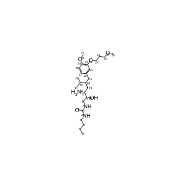 CCCCNC(=O)NC[C@H](O)[C@@H](N)C[C@H](Cc1ccc(OC)c(OCCCOC)c1)C(C)C